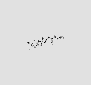 CCOC(=O)C=C1CC2(C1)CN(CC(F)(F)F)C2